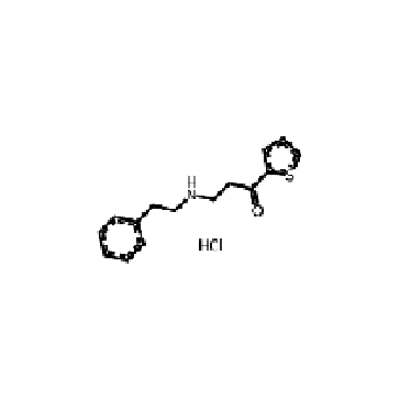 Cl.O=C(CCNCCc1ccccc1)c1cccs1